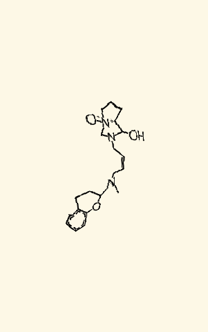 CN(C/C=C\CN1C[N+]2([O-])CCCC2C1O)C1CCc2ccccc2O1